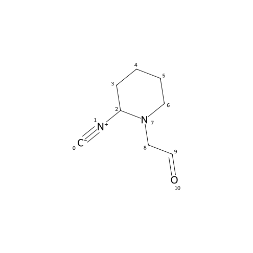 [C-]#[N+]C1CCCCN1CC=O